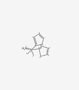 [CH3][Ti]([CH3])(=[SiH2])([C]1=CC=CC1)[C]1=CC=CC1